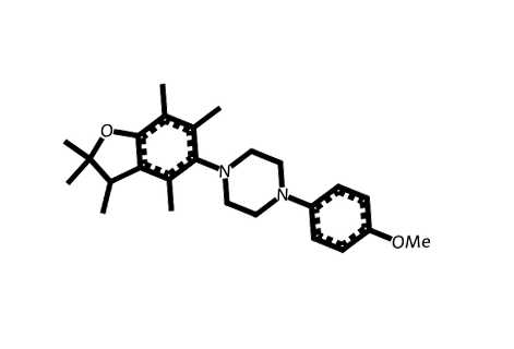 COc1ccc(N2CCN(c3c(C)c(C)c4c(c3C)C(C)C(C)(C)O4)CC2)cc1